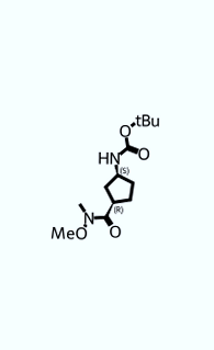 CON(C)C(=O)[C@@H]1CC[C@H](NC(=O)OC(C)(C)C)C1